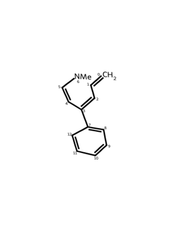 C=C/C=C(\C=C/NC)c1ccccc1